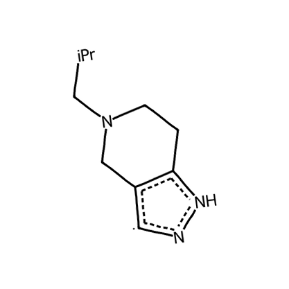 CC(C)CN1CCc2[nH]n[c]c2C1